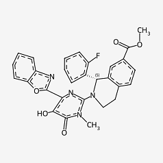 COC(=O)c1ccc2c(c1)[C@@H](c1ccccc1F)N(c1nc(-c3nc4ccccc4o3)c(O)c(=O)n1C)CC2